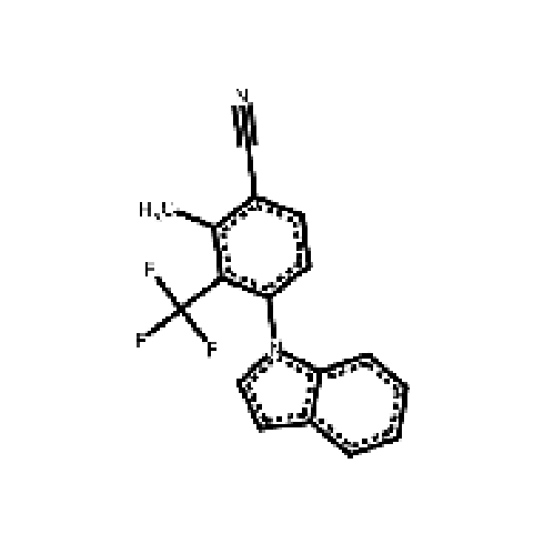 Cc1c(C#N)ccc(-n2ccc3ccccc32)c1C(F)(F)F